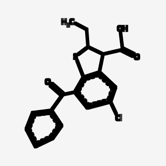 CCC1Sc2c(C(=O)c3ccccc3)cc(Cl)cc2C1C(=O)O